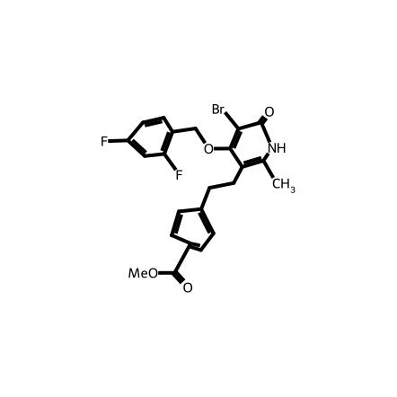 COC(=O)c1ccc(CCc2c(C)[nH]c(=O)c(Br)c2OCc2ccc(F)cc2F)cc1